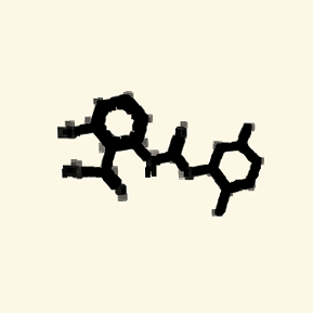 CC1CCC(C)C(OC(=O)Nc2cccc(O)c2C(=O)O)C1